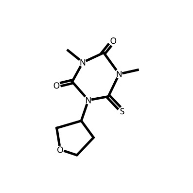 Cn1c(=O)n(C)c(=S)n(C2CCOC2)c1=O